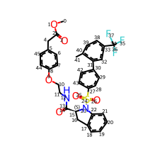 COC(=O)Cc1ccc(OCCNC(=O)[C@@H]2Cc3ccccc3N2S(=O)(=O)c2ccc(-c3cc(C(F)(F)F)ccc3C)cc2)cc1